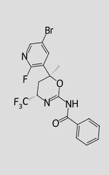 C[C@@]1(c2cc(Br)cnc2F)C[C@@H](C(F)(F)F)N=C(NC(=O)c2ccccc2)O1